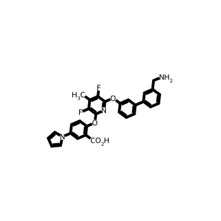 Cc1c(F)c(Oc2cccc(-c3cccc(CN)c3)c2)nc(Oc2ccc(-n3cccc3)cc2C(=O)O)c1F